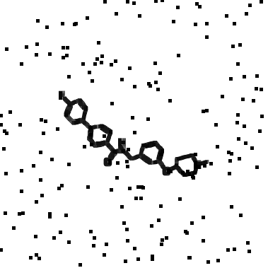 CN1CCC(Oc2cccc(CNC(=O)c3ccc(-c4ccc(F)cc4)cc3)c2)CC1